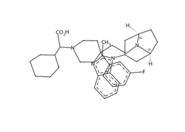 Cc1nc2ccccc2n1C1C[C@H]2CC[C@@H](C1)N2CCC1(c2cccc(F)c2)CCN(C(C(=O)O)C2CCCCC2)CC1